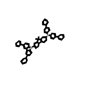 CC1(C)C2=CC(n3c4ccc(C5=CCCC=C5)cc4c4cc(C5C=CC=CC5)ccc43)=CCC2c2ccc(N(c3ccc(-c4ccccc4)cc3)C3C=CC(C4C=CC=CC4)=CC3)cc21